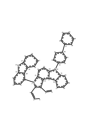 C=Cc1c(/C=C\C)n(-c2cccc3sc4ccccc4c23)c2ccc3c(c4ccccc4n3-c3ccc(-c4ccccc4)cc3)c12